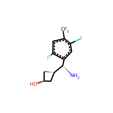 N[C@@H](c1cc(F)c(C(F)(F)F)cc1F)[C@H]1C[C@H](O)C1